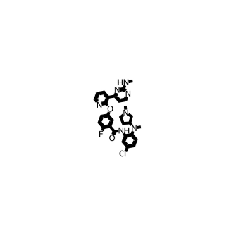 CNc1nccc(-c2cccnc2Oc2ccc(F)c(C(=O)Nc3cc(Cl)ccc3N(C)C3CCN(C)C3)c2)n1